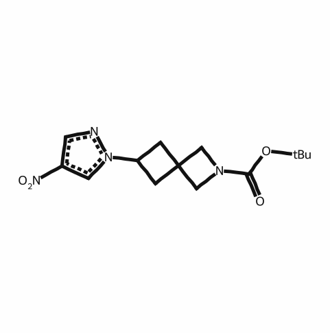 CC(C)(C)OC(=O)N1CC2(CC(n3cc([N+](=O)[O-])cn3)C2)C1